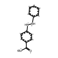 CC(C)(C)C(=O)c1ccc(NNc2ccccc2)cc1